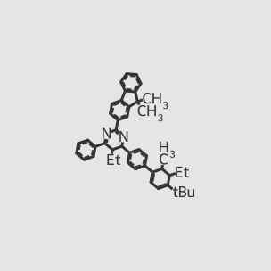 CCC1C(C(C)(C)C)=CC=C(c2ccc(C3N=C(c4ccc5c(c4)C(C)(C)c4ccccc4-5)N=C(c4ccccc4)C3CC)cc2)C1C